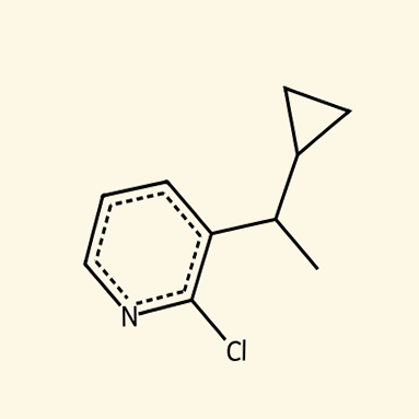 CC(c1cccnc1Cl)C1CC1